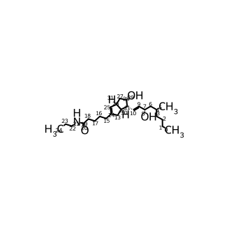 CCCC[C@H](C)C[C@H](O)/C=C/[C@@H]1[C@H]2CC(CCCCC(=O)NCCC)=C[C@H]2C[C@H]1O